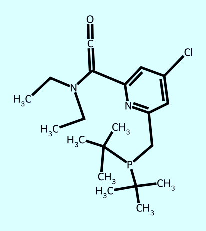 CCN(CC)C(=C=O)c1cc(Cl)cc(CP(C(C)(C)C)C(C)(C)C)n1